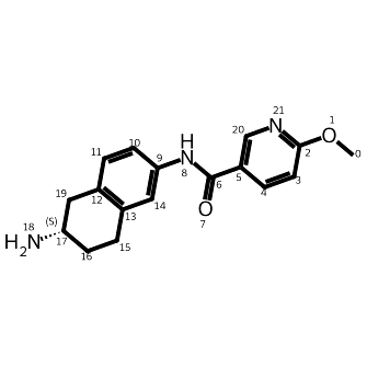 COc1ccc(C(=O)Nc2ccc3c(c2)CC[C@H](N)C3)cn1